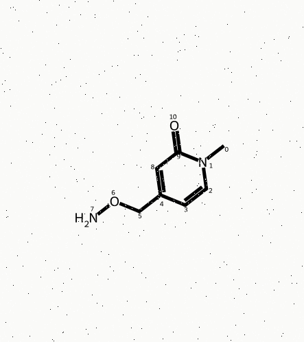 Cn1ccc(CON)cc1=O